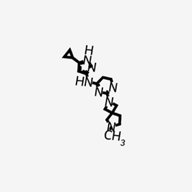 CN1CCC2(C1)CN(C1=NCCC(Nc3cc(C4CC4)[nH]n3)=N1)C2